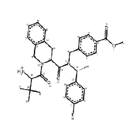 COC(=O)c1ccc(CN(C(=O)C2Cc3ccccc3CN2C(=O)C(N)C(C)(C)C)[C@H](C)c2ccc(F)cc2)cc1